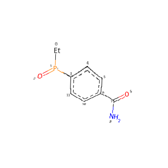 CC[P](=O)c1ccc(C(N)=O)cc1